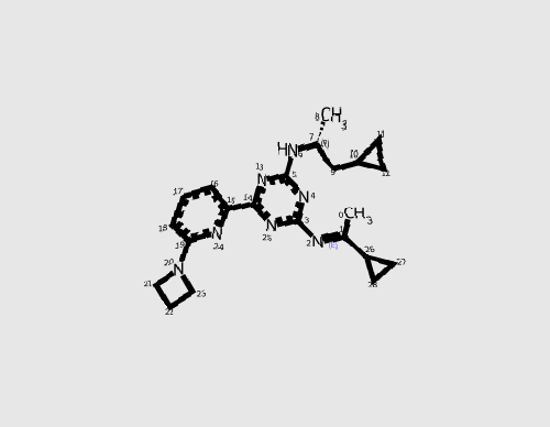 C/C(=N\c1nc(N[C@H](C)CC2CC2)nc(-c2cccc(N3CCC3)n2)n1)C1CC1